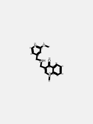 COc1cc(CNCc2cn(C)c3ccccc3c2=O)ccn1